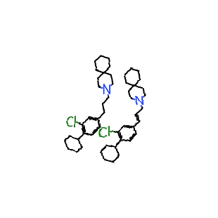 Clc1cc(/C=C/CN2CCC3(CCCCC3)CC2)ccc1C1CCCCC1.Clc1cc(CCCN2CCC3(CCCCC3)CC2)ccc1C1CCCCC1